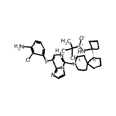 CC(C)(C)[S+]([O-])NC1([C@@H]2CCCC23CCN(c2ncc(Sc4cccc(N)c4Cl)c4nccn24)CC3)CCC1